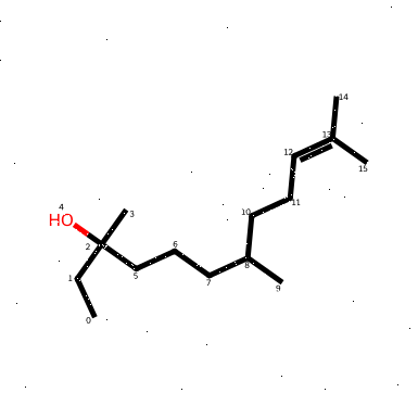 CCC(C)(O)CCCC(C)CCC=C(C)C